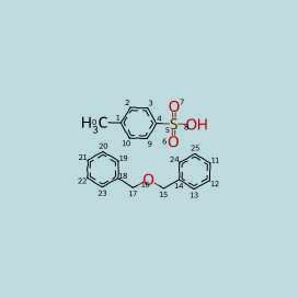 Cc1ccc(S(=O)(=O)O)cc1.c1ccc(COCc2ccccc2)cc1